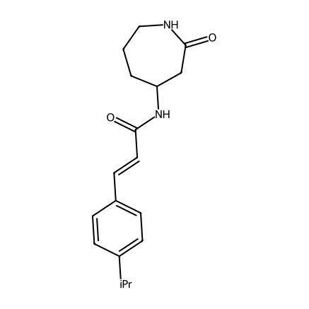 CC(C)c1ccc(C=CC(=O)NC2CCCNC(=O)C2)cc1